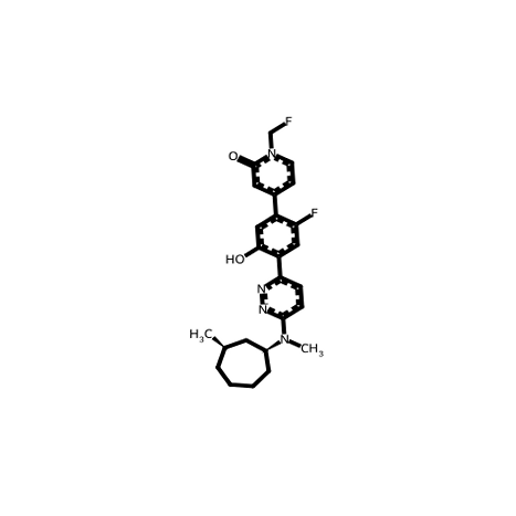 C[C@@H]1CCCC[C@H](N(C)c2ccc(-c3cc(F)c(-c4ccn(CF)c(=O)c4)cc3O)nn2)C1